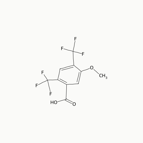 COc1cc(C(=O)O)c(C(F)(F)F)cc1C(F)(F)F